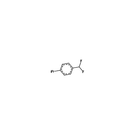 CC(C)c1ccc(C(F)F)cc1